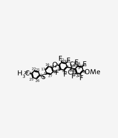 COc1c(F)c(F)c(C(c2c(F)c(F)c(Oc3ccc(Sc4ccc(C)cc4)cc3)c(F)c2F)(C(F)(F)F)C(F)(F)F)c(F)c1F